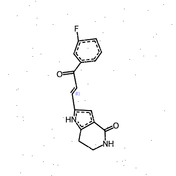 O=C(/C=C/c1cc2c([nH]1)CCNC2=O)c1cccc(F)c1